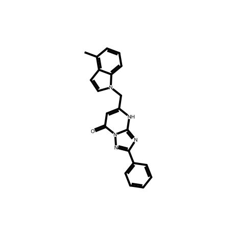 Cc1cccc2c1ccn2Cc1cc(=O)n2nc(-c3ccccc3)nc2[nH]1